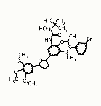 COc1cc(C2CCC(c3cc(OC)c(OC)c(OC)c3)O2)cc(NC(=O)N(O)C(C)(C)C)c1OC(C)Sc1cccc(Br)c1